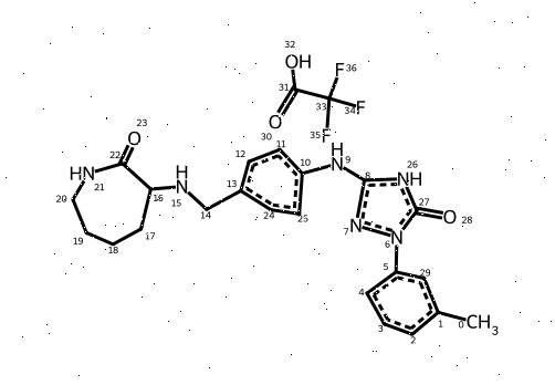 Cc1cccc(-n2nc(Nc3ccc(CNC4CCCCNC4=O)cc3)[nH]c2=O)c1.O=C(O)C(F)(F)F